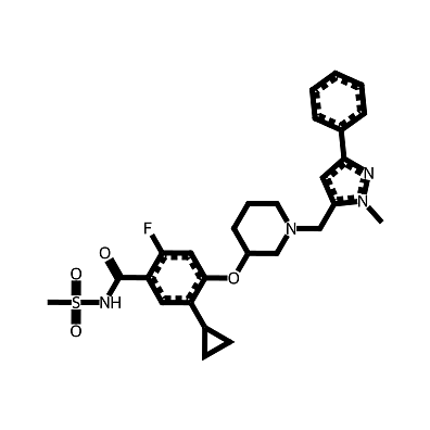 Cn1nc(-c2ccccc2)cc1CN1CCCC(Oc2cc(F)c(C(=O)NS(C)(=O)=O)cc2C2CC2)C1